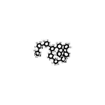 c1cc(-c2cc(-c3cccc(-c4cccc(-c5cncnc5)n4)c3)cc(-c3cccc4c3-c3ccccc3C43c4ccccc4-c4ccccc43)c2)cc(-c2cccc(-c3cncnc3)n2)c1